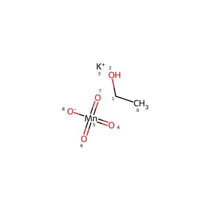 CCO.[K+].[O]=[Mn](=[O])(=[O])[O-]